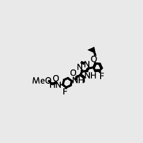 COCC(=O)N[C@H]1CC[C@H](NC(=O)c2c(C)[nH]c3c(-c4cc(F)ccc4OCC4CC4)ncnc23)C[C@H]1F